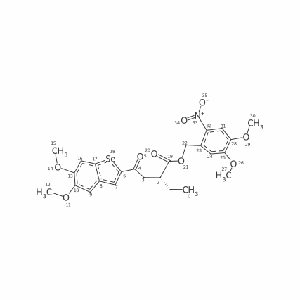 CC[C@H](CC(=O)c1cc2cc(OC)c(OC)cc2[se]1)C(=O)OCc1cc(OC)c(OC)cc1[N+](=O)[O-]